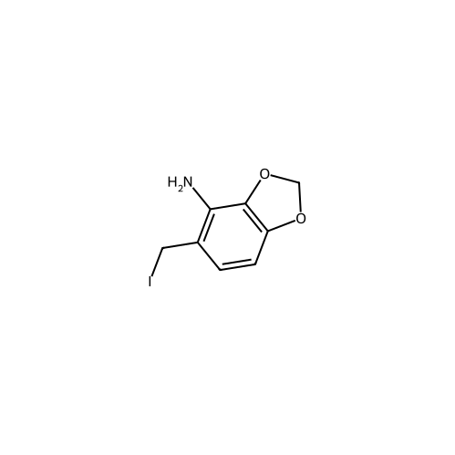 Nc1c(CI)ccc2c1OCO2